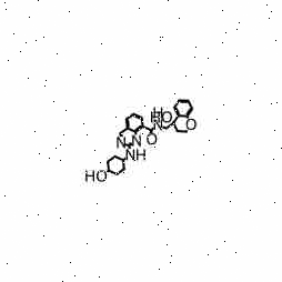 O=C(NCC1(O)CCOc2ccccc21)c1cccc2cnc(NC3CCC(O)CC3)nc12